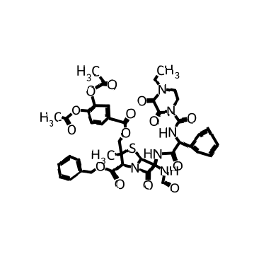 CCN1CCN(C(=O)NC(C(=O)NC2(NC=O)C(=O)N3C(C(=O)OCc4ccccc4)C(C)(COC(=O)c4ccc(OC(C)=O)c(OC(C)=O)c4)SC32)c2ccccc2)C(=O)C1=O